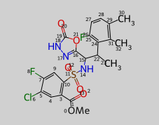 COC(=O)c1cc(Cl)c(F)cc1S(=O)(=O)NC(c1n[nH]c(=O)o1)C(C)c1c(F)ccc(C)c1C